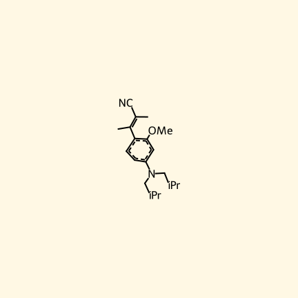 COc1cc(N(CC(C)C)CC(C)C)ccc1C(C)=C(C)C#N